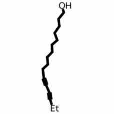 CCC#CC#CCCCCCCCCCCO